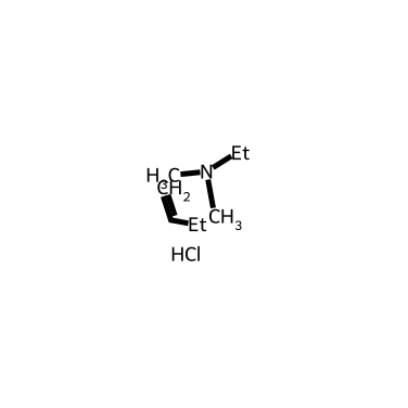 C=CCC.CCN(C)C.Cl